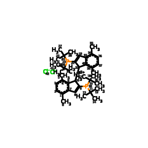 Cc1ccc(C)c2c1C=C(P(C(C)(C)C)C(C)(C)C)[CH]2[Hf+2][CH]1C(P(C(C)(C)C)C(C)(C)C)=Cc2c(C)ccc(C)c21.[Cl-].[Cl-]